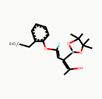 CCOC(=O)Cc1ccccc1O/C(F)=C/C(B1OC(C)(C)C(C)(C)O1)=C(\C)O